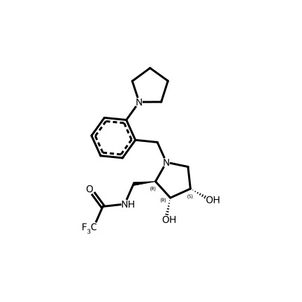 O=C(NC[C@@H]1[C@@H](O)[C@@H](O)CN1Cc1ccccc1N1CCCC1)C(F)(F)F